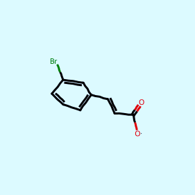 [O]C(=O)C=Cc1cccc(Br)c1